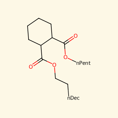 CCCCCCCCCCCCOC(=O)C1CCCCC1C(=O)OCCCCC